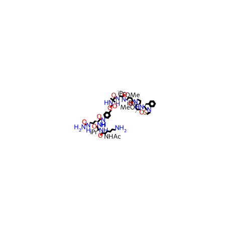 CC[C@H](C)[C@@H]([C@@H](CC(=O)N1CCC[C@H]1[C@H](OC)[C@@H](C)C(=O)N[C@@H](Cc1ccccc1)c1nccs1)OC)N(C)C(=O)[C@@H](NC(=O)C(C)(C)NC(=O)OCc1ccc(NC(=O)[C@H](CCCNC(N)=O)NC(=O)C(NC(=O)[C@H](CCCCN)NC(C)=O)C(C)C)cc1)C(C)C